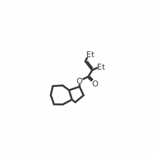 CCC=C(CC)C(=O)OC1CCC2CCCCCC21